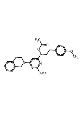 COc1nc(N2CCc3ccccc3C2)cc(N(CCc2ccc(OC(F)(F)F)cc2)OC(=O)C(F)(F)F)n1